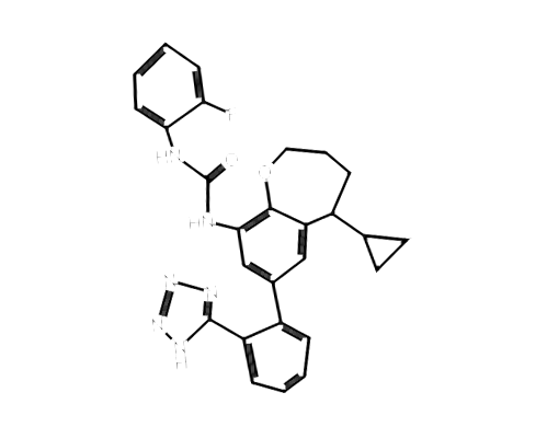 O=C(Nc1ccccc1F)Nc1cc(-c2ccccc2-c2nnn[nH]2)cc2c1OCCCC2C1CC1